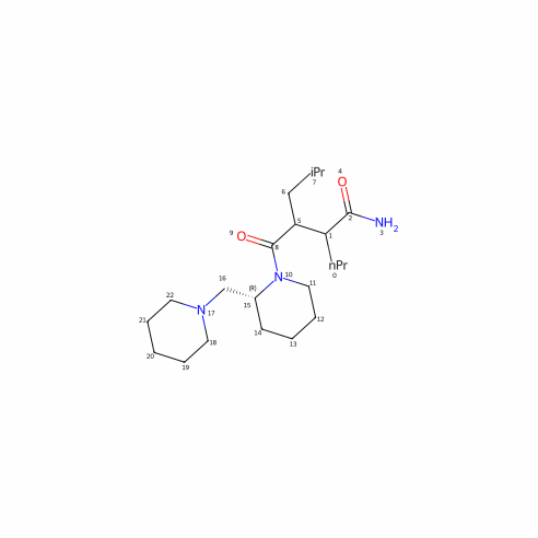 CCCC(C(N)=O)C(CC(C)C)C(=O)N1CCCC[C@@H]1CN1CCCCC1